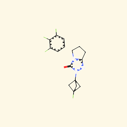 O=c1n(C23CC(F)(C2)C3)nc2n1[C@H](c1cc(F)c(F)c(F)c1)CC2